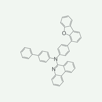 c1ccc(-c2ccc(N(c3ccc(-c4cccc5c4oc4ccccc45)cc3)c3nc4ccccc4c4ccccc34)cc2)cc1